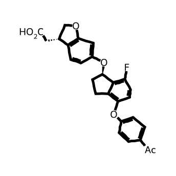 CC(=O)c1ccc(Oc2ccc(F)c3c2CC[C@H]3Oc2ccc3c(c2)OC[C@H]3CC(=O)O)cc1